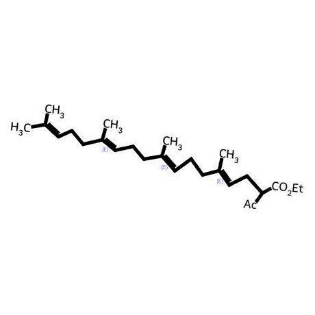 CCOC(=O)C(C/C=C(\C)CC/C=C(\C)CC/C=C(\C)CCC=C(C)C)C(C)=O